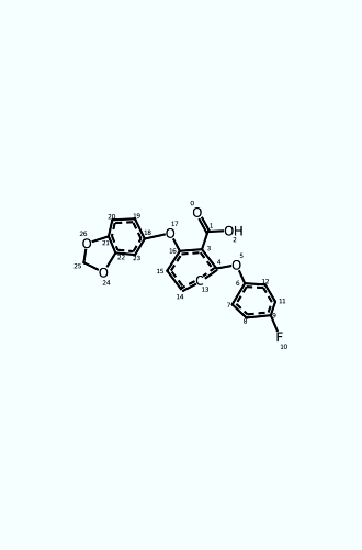 O=C(O)c1c(Oc2ccc(F)cc2)cccc1Oc1ccc2c(c1)OCO2